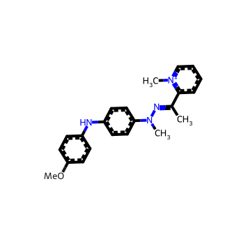 COc1ccc(Nc2ccc(N(C)/N=C(\C)c3cccc[n+]3C)cc2)cc1